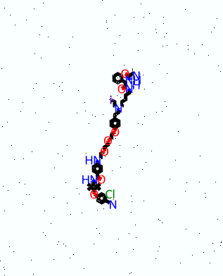 CN[C@@H](C)C(=O)N[C@H](C(=O)N(C)CCCCCN(CCI)CCc1ccc(OCCOCCOCCNc2ccc(C(=O)NC3C(C)(C)C(Oc4ccc(C#N)c(Cl)c4)C3(C)C)cc2)cc1)C1CCCCC1